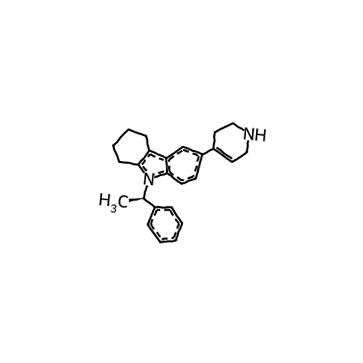 C[C@H](c1ccccc1)n1c2c(c3cc(C4=CCNCC4)ccc31)CCCC2